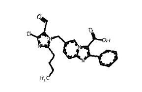 CCCCc1nc(Cl)c(C=O)n1Cc1ccc2nc(-c3ccccc3)c(C(=O)O)n2c1